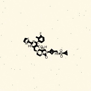 Cc1c(F)cccc1[C@@H]1N=C(c2nccs2)NC(CN2CCN3C(=O)N(C45CC(CNS(=O)(=O)C6CC6)(C4)C5)C[C@@H]3C2)=C1C(=O)O